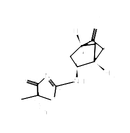 CC(C)[C@@]1(C)SC(N[C@H]2C[C@H]3C[C@@H]2CC3=O)=NC1=O